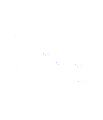 CCOC(=O)C1CN(C(=O)Nc2cc(Cl)cc(Cl)c2)CCN1